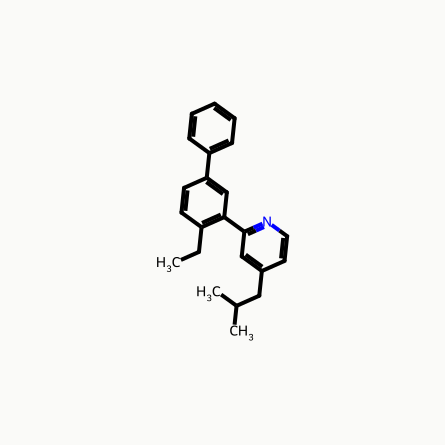 CCc1ccc(-c2ccccc2)cc1-c1cc(CC(C)C)ccn1